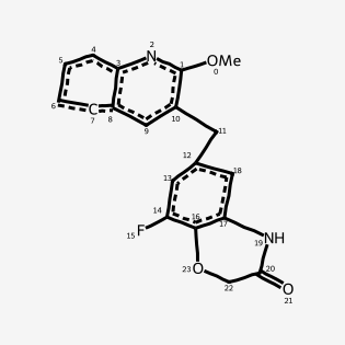 COc1nc2ccccc2cc1Cc1cc(F)c2c(c1)NC(=O)CO2